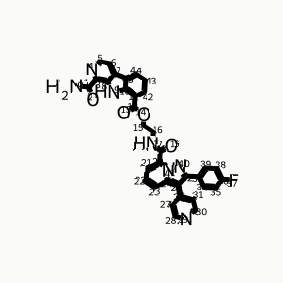 NC(=O)c1nccc2c1[nH]c1c(C(=O)OCCNC(=O)c3cccc4c(-c5ccncc5)c(-c5ccc(F)cc5)nn34)cccc12